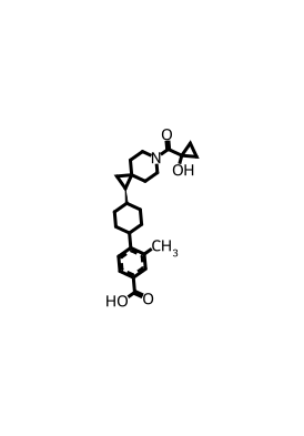 Cc1cc(C(=O)O)ccc1C1CCC([C@H]2CC23CCN(C(=O)C2(O)CC2)CC3)CC1